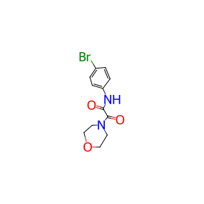 O=C(Nc1ccc(Br)cc1)C(=O)N1CCOCC1